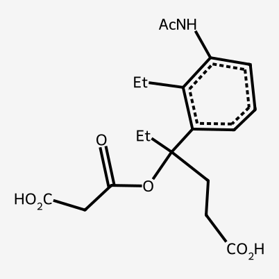 CCc1c(NC(C)=O)cccc1C(CC)(CCC(=O)O)OC(=O)CC(=O)O